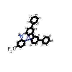 CN(C)c1cc(C(F)(F)F)ccc1-n1c2ccc(-c3ccccc3)cc2c2cc(-c3ccccc3)ccc21